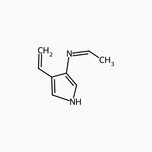 C=Cc1c[nH]cc1/N=C\C